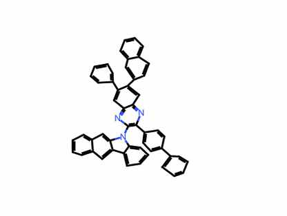 c1ccc(-c2ccc(-c3nc4cc(-c5ccc6ccccc6c5)c(-c5ccccc5)cc4nc3-n3c4ccccc4c4cc5ccccc5cc43)cc2)cc1